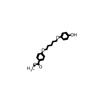 COC(=O)c1ccc(OCCCCCOc2ccc(O)cc2)cc1